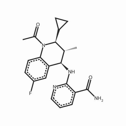 CC(=O)N1c2ccc(F)cc2[C@H](Nc2ncccc2C(N)=O)[C@@H](C)[C@@H]1C1CC1